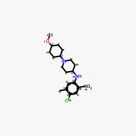 CCOC1CCC(N2CCC(Nc3cc(C)c(Cl)cc3[N+](=O)[O-])CC2)CC1